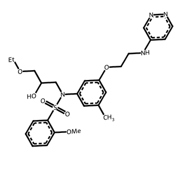 CCOCC(O)CN(c1cc(C)cc(OCCNc2ccnnc2)c1)S(=O)(=O)c1ccccc1OC